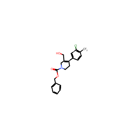 O=C(OCc1ccccc1)N1CCC(c2ccc(C(F)(F)F)c(Cl)c2)=C(CO)C1